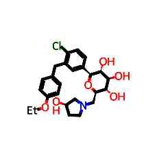 CCOc1ccc(Cc2cc([C@@H]3O[C@H](CN4CC[C@@H](O)C4)[C@@H](O)[C@H](O)[C@H]3O)ccc2Cl)cc1